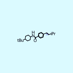 CC(C)/C=C/c1ccc(C(=O)NC2CCC(C(C)(C)C)CC2)cc1